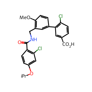 COc1ccc(-c2cc(C(=O)O)ccc2Cl)cc1CNC(=O)c1ccc(OC(C)C)cc1Cl